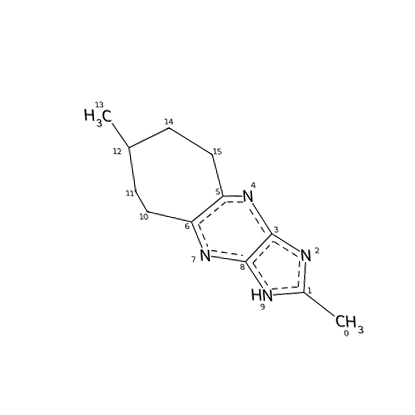 Cc1nc2nc3c(nc2[nH]1)CCC(C)CC3